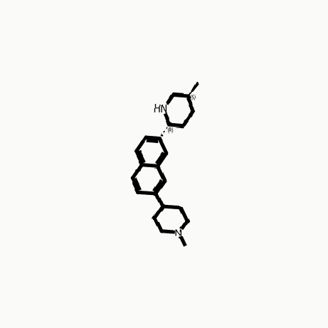 C[C@H]1CC[C@H](c2ccc3ccc(C4CCN(C)CC4)cc3c2)NC1